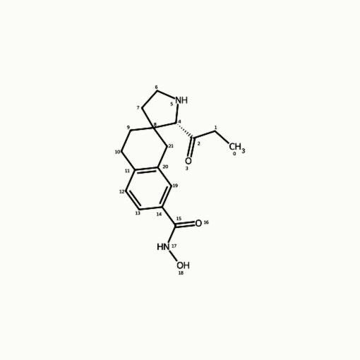 CCC(=O)[C@H]1NCCC12CCc1ccc(C(=O)NO)cc1C2